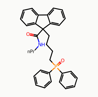 CCCNC(=O)C1(CCCCP(=O)(c2ccccc2)c2ccccc2)c2ccccc2-c2ccccc21